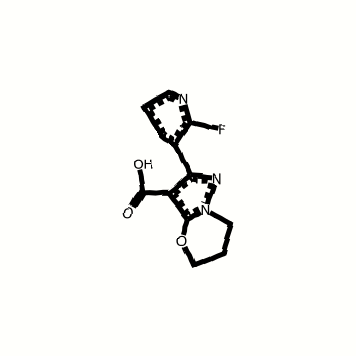 O=C(O)c1c(-c2cccnc2F)nn2c1OCCC2